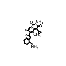 Cc1c(-c2cc3c(s2)CCCC3CN)c(F)cn2c(=O)n(N)c(=O)c(C3CC3)c12